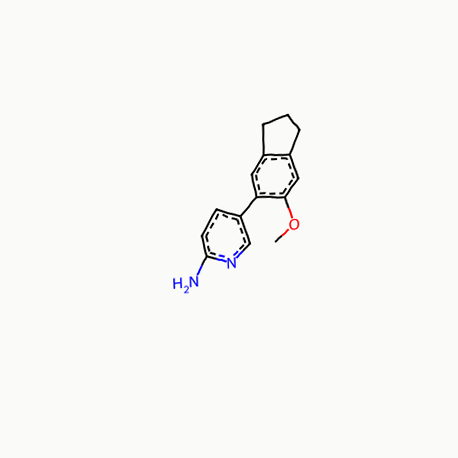 COc1cc2c(cc1-c1ccc(N)nc1)CCC2